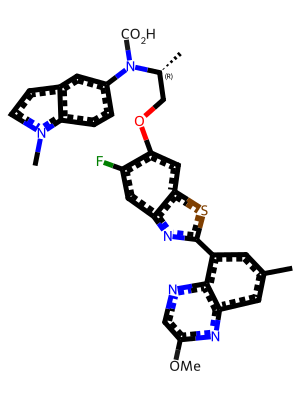 COc1cnc2c(-c3nc4cc(F)c(OC[C@@H](C)N(C(=O)O)c5ccc6c(ccn6C)c5)cc4s3)cc(C)cc2n1